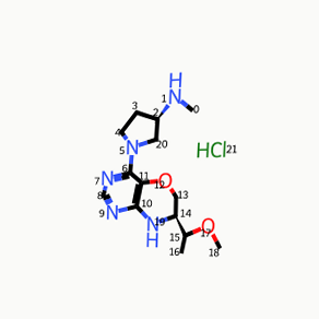 CN[C@@H]1CCN(c2ncnc3c2OC[C@@H](C(C)OC)N3)C1.Cl